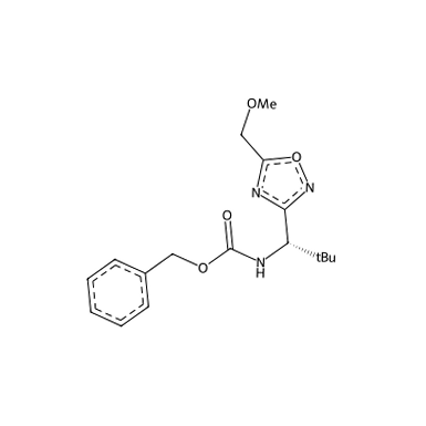 COCc1nc([C@@H](NC(=O)OCc2ccccc2)C(C)(C)C)no1